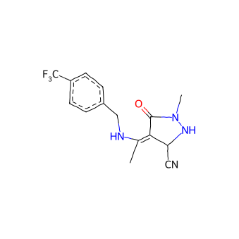 CC(NCc1ccc(C(F)(F)F)cc1)=C1C(=O)N(C)NC1C#N